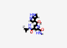 CNC(=O)c1cc(C(=O)N[C@H]2C[C@@H]2C)cc(C(OC)c2ccnc3[nH]ccc23)n1